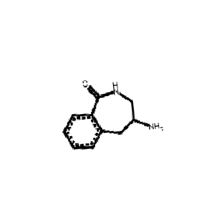 NC1CNC(=O)c2ccccc2C1